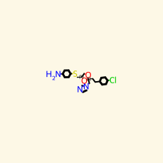 Nc1ccc(SC[C@H]2CO[C@](CCc3ccc(Cl)cc3)(Cn3ccnc3)O2)cc1